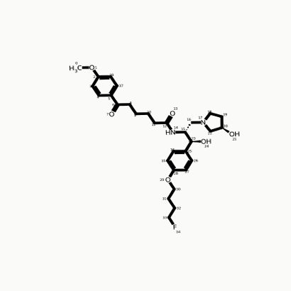 COc1ccc(C(=O)CCCCC(=O)N[C@H](CN2CC[C@@H](O)C2)[C@@H](O)c2ccc(OCCCCF)cc2)cc1